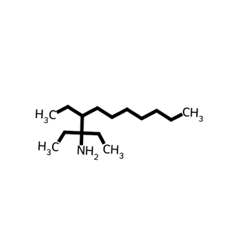 CCCCCCCC(CC)C(N)(CC)CC